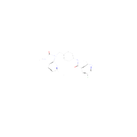 Cc1ccc2c(n1)n(CC1CCC(NC(=O)c3cc(Cl)cnc3C)CC1)c(=O)n2C